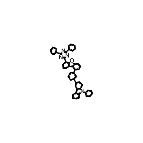 c1ccc(-c2nc(-c3ccccc3)nc(-c3cccc4c3oc3cccc(-c5cccc(-c6ccc7c(c6)c6ccccc6n7-c6ccccc6)c5)c34)n2)cc1